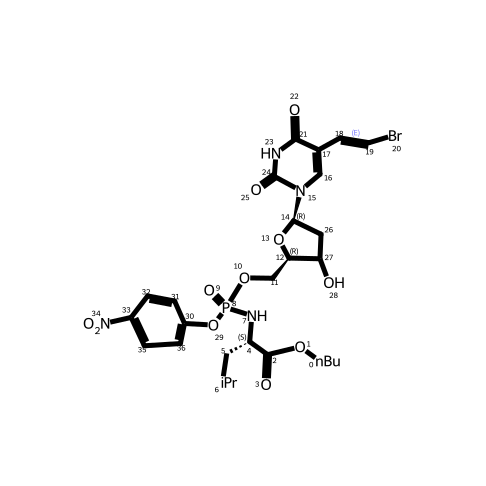 CCCCOC(=O)[C@H](CC(C)C)NP(=O)(OC[C@H]1O[C@@H](n2cc(/C=C/Br)c(=O)[nH]c2=O)CC1O)Oc1ccc([N+](=O)[O-])cc1